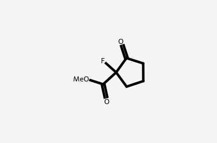 COC(=O)C1(F)CCCC1=O